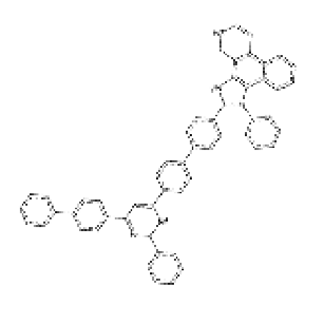 C1=Cc2c(c3c(c4ccccc24)N(c2ccccc2)C(c2ccc(-c4ccc(C5=CC(c6ccc(-c7ccccc7)cc6)=NC(c6ccccc6)N5)cc4)cc2)N3)CN1